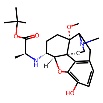 CO[C@@]12CC[C@@H](N[C@@H](C)C(=O)OC(C)(C)C)[C@@H]3Oc4c(O)ccc5c4[C@@]31CCN(C)C2C5